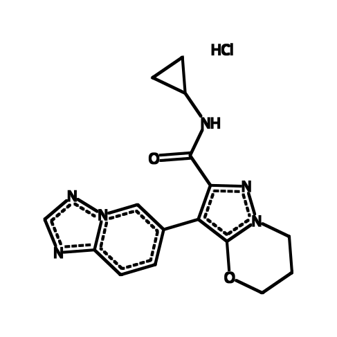 Cl.O=C(NC1CC1)c1nn2c(c1-c1ccc3ncnn3c1)OCCC2